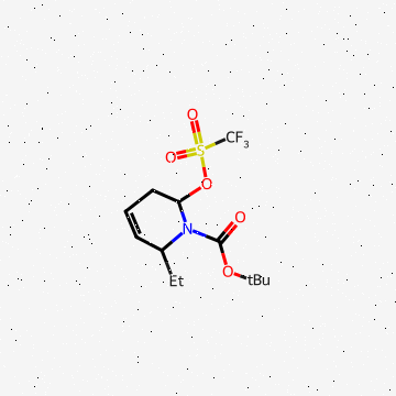 CCC1C=CCC(OS(=O)(=O)C(F)(F)F)N1C(=O)OC(C)(C)C